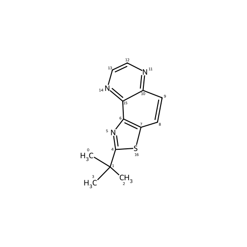 CC(C)(C)c1nc2c(ccc3nccnc32)s1